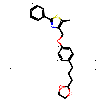 Cc1sc(-c2ccccc2)nc1COc1ccc(CCCC2OCCO2)cc1